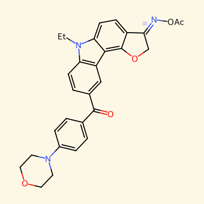 CCn1c2ccc(C(=O)c3ccc(N4CCOCC4)cc3)cc2c2c3c(ccc21)/C(=N/OC(C)=O)CO3